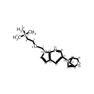 CS(C)(C)CCOCn1ccc2cc(N3C=C4CC3CO4)cnc21